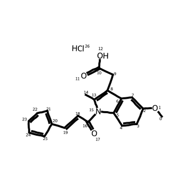 COc1ccc2c(c1)c(CC(=O)O)c(C)n2C(=O)/C=C/c1ccccc1.Cl